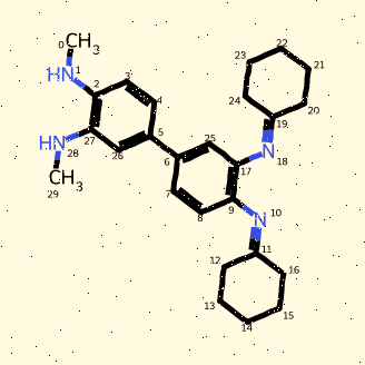 CNc1ccc(-c2ccc(N=C3CCCCC3)c(N=C3CCCCC3)c2)cc1NC